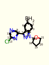 Bc1ccc2c(c1)c(-c1cncc(Cl)n1)nn2[C@H]1CCCCO1